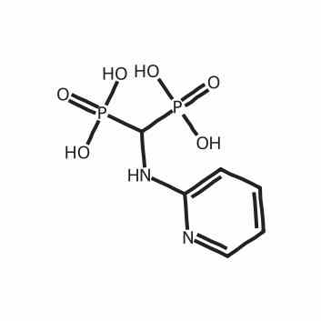 O=P(O)(O)C(Nc1ccccn1)P(=O)(O)O